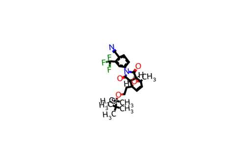 CC12C=CC(CCO[Si](C)(C)C(C)(C)C)(O1)[C@H]1C(=O)N(c3ccc(C#N)c(C(F)(F)F)c3)C(=O)[C@H]12